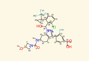 COC1CN(C(=O)N(C)C2CCc3c(-c4ccc(C(=O)O)cc4F)nn(C(O)c4c(Cl)cccc4C4(C(F)(F)F)CC4)c3C2)C1